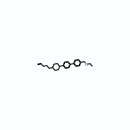 C=CCCCC1CCC(c2ccc(-c3ccc(COCC)cc3)cc2)CC1